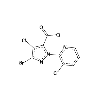 O=C(Cl)c1c(Cl)c(Br)nn1-c1ncccc1Cl